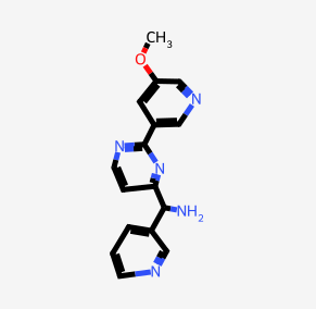 COc1cncc(-c2nccc(C(N)c3cccnc3)n2)c1